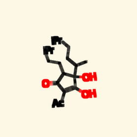 CC(=O)C1=C(O)C(O)(C(C)CCC(C)C)C(CCC(C)C)C1=O